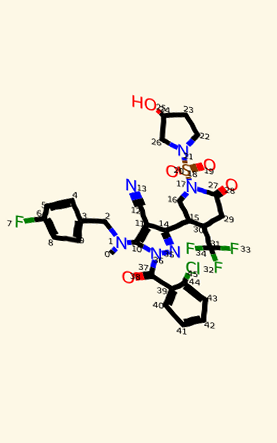 CN(Cc1ccc(F)cc1)c1c(C#N)c(C2CN(S(=O)(=O)N3CCC(O)C3)C(=O)CC2C(F)(F)F)nn1C(=O)c1ccccc1Cl